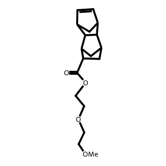 COCCOCCOC(=O)C1CC2CC1C1C3C=CC(C3)C21